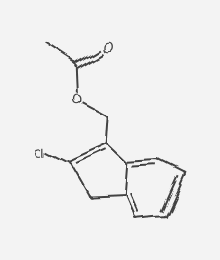 CC(=O)OCC1=C(Cl)Cc2ccccc21